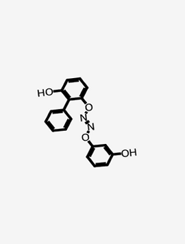 Oc1cccc(ON=NOc2cccc(O)c2-c2ccccc2)c1